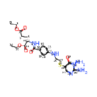 CCOC(=O)CC[C@H](NC(=O)c1ccc(NCCSc2cnc(N)n(N)c2=O)cc1)C(=O)OCC